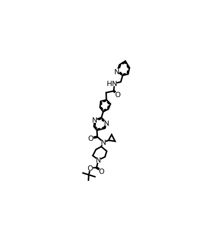 CC(C)(C)OC(=O)N1CCC(N(C(=O)c2cnc(-c3ccc(CC(=O)NCc4ccccn4)cc3)nc2)C2CC2)CC1